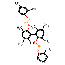 Cc1ccc(OPOc2c(C)cc(C)c(C)c2-c2c(C)c(C)cc(C)c2OPOc2ccccc2C)c(C)c1